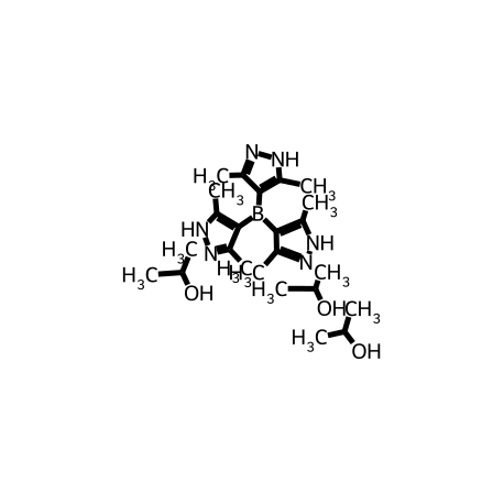 CC(C)O.CC(C)O.CC(C)O.Cc1n[nH]c(C)c1B(c1c(C)n[nH]c1C)c1c(C)n[nH]c1C